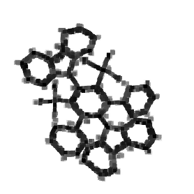 FC(F)(F)c1c(-c2ccccc2)c(-n2c3ccccc3c3ccccc32)c(-c2ccccc2)c(C(F)(F)F)c1-n1c2ccccc2c2ccccc21